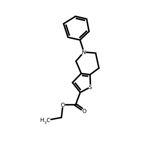 CCOC(=O)c1cc2c(s1)CCN(c1ccccc1)C2